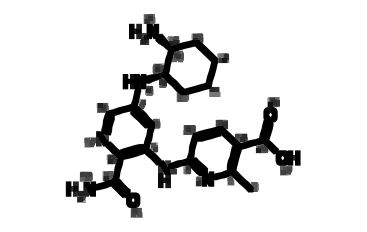 Cc1nc(Nc2cc(N[C@@H]3CCCC[C@@H]3N)cnc2C(N)=O)ccc1C(=O)O